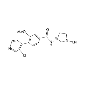 COc1cc(C(=O)N[C@@H]2CCN(C#N)C2)ccc1-c1ccncc1Cl